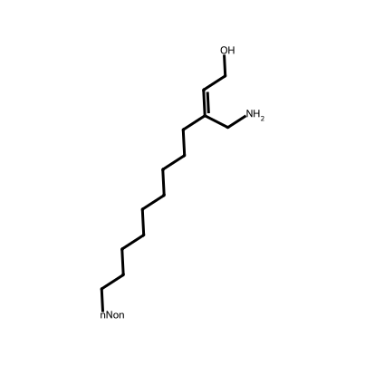 CCCCCCCCCCCCCCCCCCC(=CCO)CN